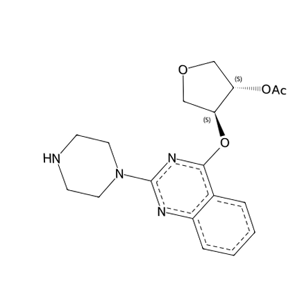 CC(=O)O[C@H]1COC[C@@H]1Oc1nc(N2CCNCC2)nc2ccccc12